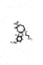 CCCO[C@H]1CCC[C@H](NCl)C(=O)O[C@@H](C)[C@@H]1Oc1ccc(OC)cc1